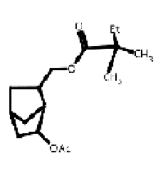 CCC(C)(C)C(=O)OCC1CC2CC(OC(C)=O)C1C2